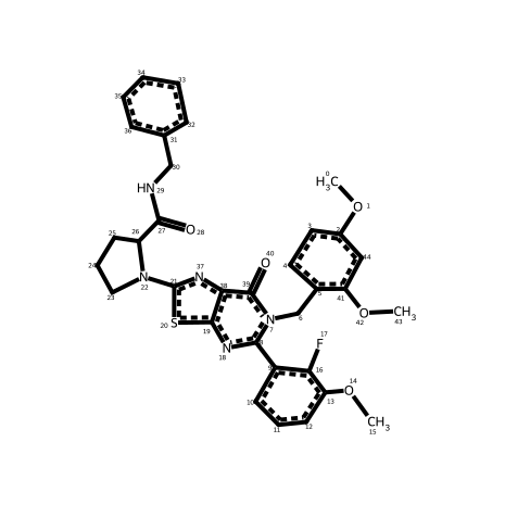 COc1ccc(Cn2c(-c3cccc(OC)c3F)nc3sc(N4CCCC4C(=O)NCc4ccccc4)nc3c2=O)c(OC)c1